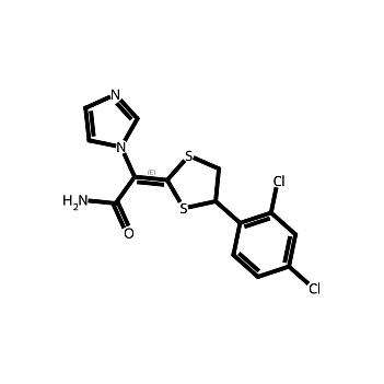 NC(=O)/C(=C1/SCC(c2ccc(Cl)cc2Cl)S1)n1ccnc1